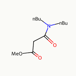 CCCCN(CCCC)C(=O)CC(=O)OC